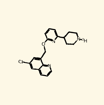 [2H]N1CCC(c2cccc(OCc3cc(Cl)cc4cccnc34)n2)CC1